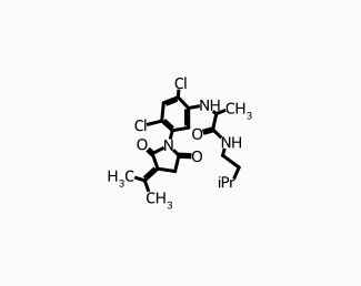 CC(C)=C1CC(=O)N(c2cc(NC(C)C(=O)NCCC(C)C)c(Cl)cc2Cl)C1=O